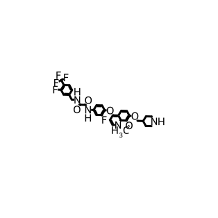 COc1c(OCC2CCNCC2)ccc2c(Oc3ccc(NC(=O)C(=O)NCc4ccc(C(F)(F)F)c(F)c4)cc3F)ccnc12